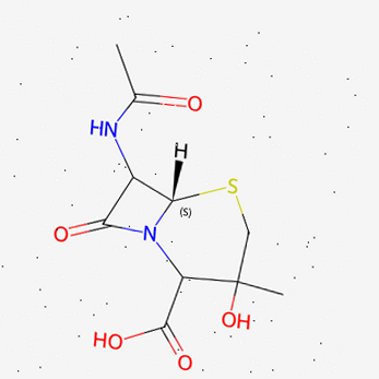 CC(=O)NC1C(=O)N2C(C(=O)O)C(C)(O)CS[C@@H]12